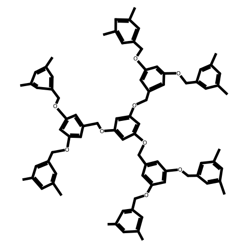 Cc1cc(C)cc(COc2cc(COc3cc(OCc4cc(OCc5cc(C)cc(C)c5)cc(OCc5cc(C)cc(C)c5)c4)cc(OCc4cc(OCc5cc(C)cc(C)c5)cc(OCc5cc(C)cc(C)c5)c4)c3)cc(OCc3cc(C)cc(C)c3)c2)c1